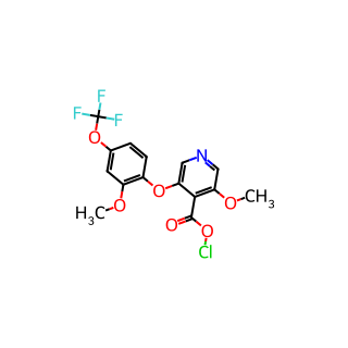 COc1cc(OC(F)(F)F)ccc1Oc1cncc(OC)c1C(=O)OCl